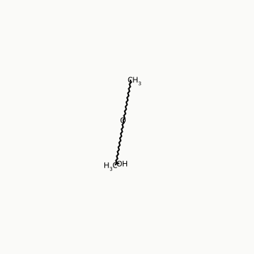 CCCCCCCCCCCCCCCCCCOCCCCCCCCCCCCCCCCCCC(C)O